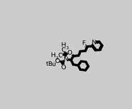 CC(C)(C)OC(=O)N1C(CC2CCCCC2)C(CCC[C@H](F)c2ccccn2)OC1(C)C